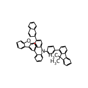 CC1(C)c2ccccc2-c2cccc(-c3ccc(N(c4ccc(-c5ccc6ccccc6c5)cc4)c4ccccc4-c4ccc5oc6ccccc6c5c4)cc3)c21